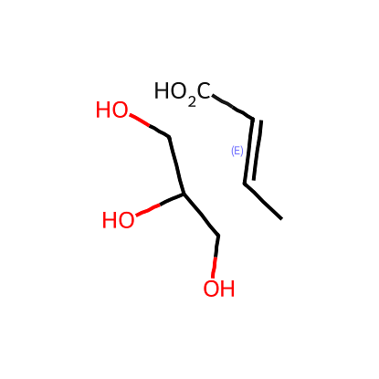 C/C=C/C(=O)O.OCC(O)CO